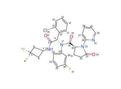 O=C(NC1CC(F)(F)C1)[C@H](c1ccccc1Cl)N(C(=O)[C@@H]1CCC(=O)N1c1ccccn1)c1cccc(F)c1